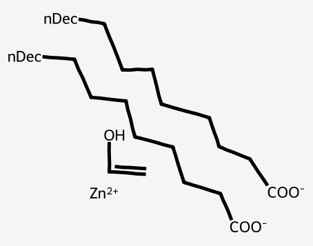 C=CO.CCCCCCCCCCCCCCCCCC(=O)[O-].CCCCCCCCCCCCCCCCCC(=O)[O-].[Zn+2]